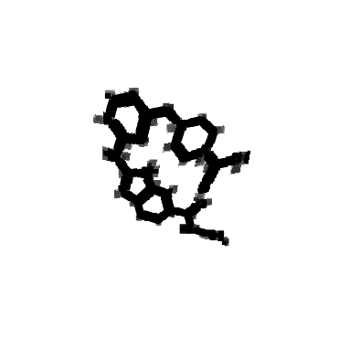 NNC(=O)c1ccc2nc(Nc3cc(CN4CCN(C(=O)O)CC4)ccn3)[nH]c2c1